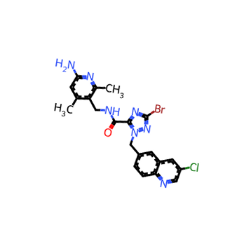 Cc1cc(N)nc(C)c1CNC(=O)c1nc(Br)nn1Cc1ccc2ncc(Cl)cc2c1